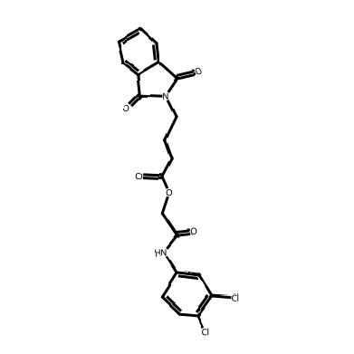 O=C(COC(=O)CCCN1C(=O)c2ccccc2C1=O)Nc1ccc(Cl)c(Cl)c1